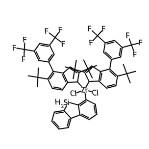 CC(C)(C)C1=Cc2c(ccc(C(C)(C)C)c2-c2cc(C(F)(F)F)cc(C(F)(F)F)c2)[CH]1[Zr]([Cl])([Cl])([c]1cccc2c1[SiH2]c1ccccc1-2)[CH]1C(C(C)(C)C)=Cc2c1ccc(C(C)(C)C)c2-c1cc(C(F)(F)F)cc(C(F)(F)F)c1